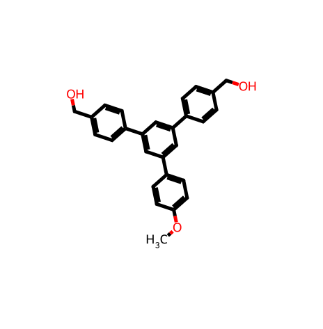 COc1ccc(-c2cc(-c3ccc(CO)cc3)cc(-c3ccc(CO)cc3)c2)cc1